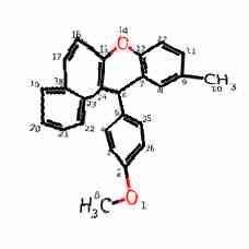 COc1ccc(C2c3cc(C)ccc3Oc3ccc4ccccc4c32)cc1